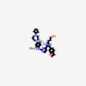 COc1cc(N2CCCN(C3CCCC3)CC2)c([N+](=O)[O-])cc1Nc1nccc(-c2[nH]c(CCCO)nc2-c2ccc3ccoc3c2)n1